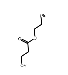 CC(C)(C)CCOC(=O)CCO